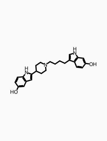 Oc1ccc2[nH]c(C3CCN(CCCCc4c[nH]c5cc(O)ccc45)CC3)cc2c1